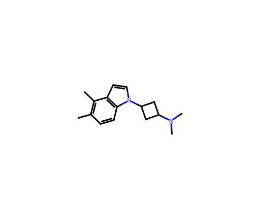 Cc1ccc2c(ccn2C2CC(N(C)C)C2)c1C